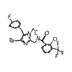 O=C(c1cccc(C(F)(F)F)c1Cl)N1CCn2c(nc(Br)c2-c2ccc(F)cc2)C1